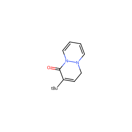 CC(C)(C)C1=CCN2C=CC=CN2C1=O